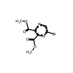 COC(=O)c1ncc(Br)nc1C(=O)OC